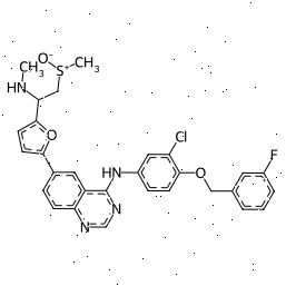 CNC(C[S+](C)[O-])c1ccc(-c2ccc3ncnc(Nc4ccc(OCc5cccc(F)c5)c(Cl)c4)c3c2)o1